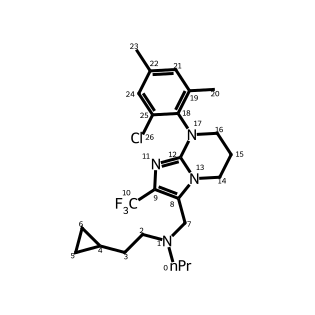 CCCN(CCC1CC1)Cc1c(C(F)(F)F)nc2n1CCCN2c1c(C)cc(C)cc1Cl